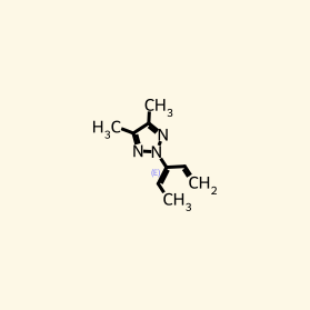 C=C/C(=C\C)n1nc(C)c(C)n1